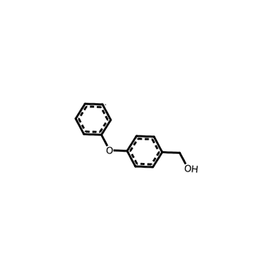 OCc1ccc(Oc2c[c]ccc2)cc1